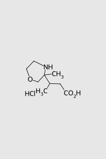 CC(CC(=O)O)C1(C)COCCN1.Cl